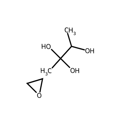 C1CO1.CC(O)C(C)(O)O